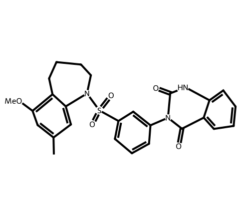 COc1cc(C)cc2c1CCCCN2S(=O)(=O)c1cccc(-n2c(=O)[nH]c3ccccc3c2=O)c1